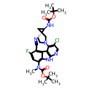 CN(C(=O)OC(C)(C)C)c1cc(F)c(C#N)c2c1[nH]c1ncc(Cl)c(N3CC[C@@]4(C[C@H]4NC(=O)OC(C)(C)C)C3)c12